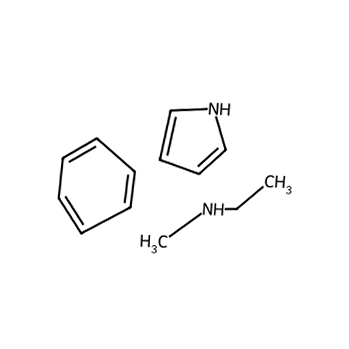 CCNC.c1cc[nH]c1.c1ccccc1